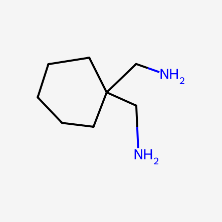 NCC1(CN)CCCCC1